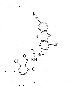 N#Cc1ccc(Oc2c(Br)cc(NC(=O)NC(=O)c3c(Cl)cccc3Cl)cc2Br)nc1